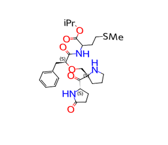 CSCCC(NC(=O)[C@H](Cc1ccccc1)OC[C@]1(C(=O)[C@@H]2CCC(=O)N2)CCCN1)C(=O)OC(C)C